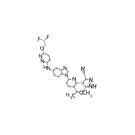 CC(=O)c1ccc(-n2cnc3cc(Nc4ccc(OCC(F)F)nn4)ccc32)nc1-c1c(C#N)n[nH]c1C